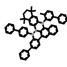 Cc1ccc(-c2ccccc2)cc1N1c2cc3c(cc2B2c4c(cc5ccccc5c41)-c1ccc(-c4ccccc4)cc1N2c1ccc(-c2ccccc2)cc1)C(C)(C)CCC3(C)C